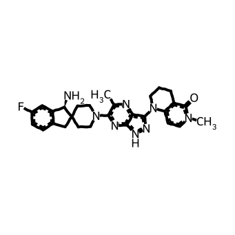 Cc1nc2c(N3CCCc4c3ccn(C)c4=O)n[nH]c2nc1N1CCC2(CC1)Cc1ccc(F)cc1[C@H]2N